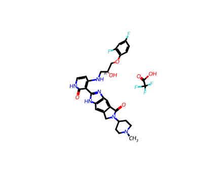 CN1CCC(N2Cc3cc4[nH]c(-c5c(NC[C@@H](O)COc6ccc(F)cc6F)cc[nH]c5=O)nc4cc3C2=O)CC1.O=C(O)C(F)(F)F